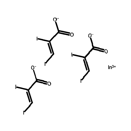 O=C([O-])C(I)=CI.O=C([O-])C(I)=CI.O=C([O-])C(I)=CI.[In+3]